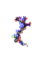 CN1CCN(C(=O)Oc2cc3c(c4ccccc24)[C@H](CCl)CN3C(=O)c2cc3cc(NC(=O)c4ccc(NC(=O)[C@H](CCCNC(=O)I)NC(=O)[C@H](CCCNC(N)=O)NC(=O)CCCCCN5C(=O)C=CC5=O)cc4)ccc3[nH]2)CC1